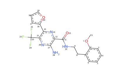 COc1ccccc1CCNC(=O)c1nc(-c2ccco2)c(C(F)(F)F)nc1N